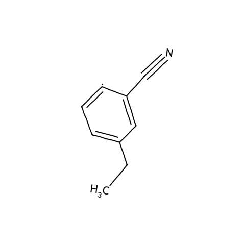 CCc1cc[c]c(C#N)c1